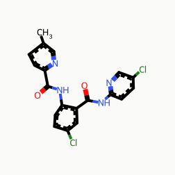 Cc1ccc(C(=O)Nc2ccc(Cl)cc2C(=O)Nc2ccc(Cl)cn2)nc1